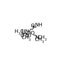 CO[C@@H](C)C(=O)N[C@@H](CCC(=O)C=N)C(=O)OCCN(C)C